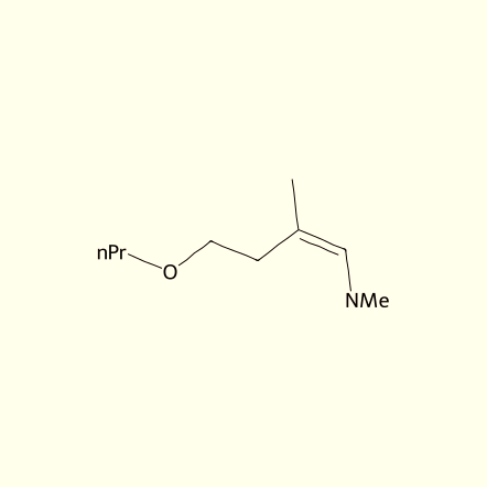 CCCOCC/C(C)=C\NC